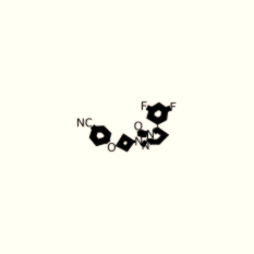 N#Cc1ccc(O[C@H]2C[C@H](n3nc4n(c3=O)[C@H](c3cc(F)cc(F)c3)CC4)C2)cc1